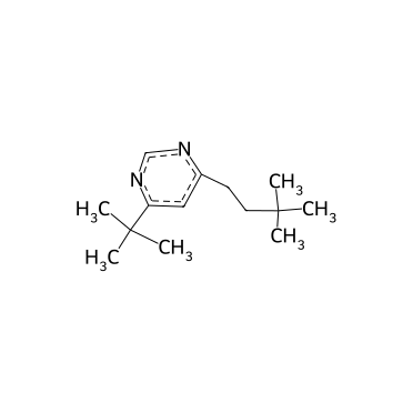 CC(C)(C)CCc1cc(C(C)(C)C)ncn1